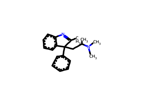 CC1=Nc2ccccc2C1(CC(C)N(C)C)c1ccccc1